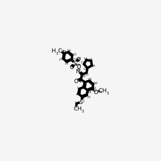 CCSc1ccc2c(C(=O)/C(CC3CCCC3)=N/OS(=O)(=O)c3ccc(C)cc3)ccc(OC)c2c1